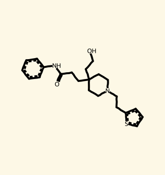 O=C(CCC1(CCO)CCN(CCc2cccs2)CC1)Nc1ccccc1